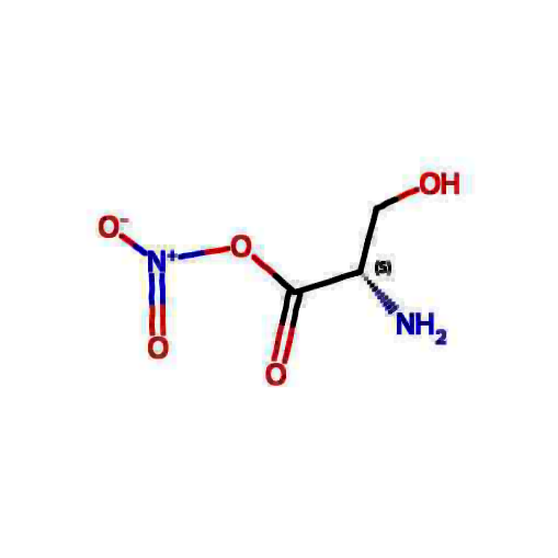 N[C@@H](CO)C(=O)O[N+](=O)[O-]